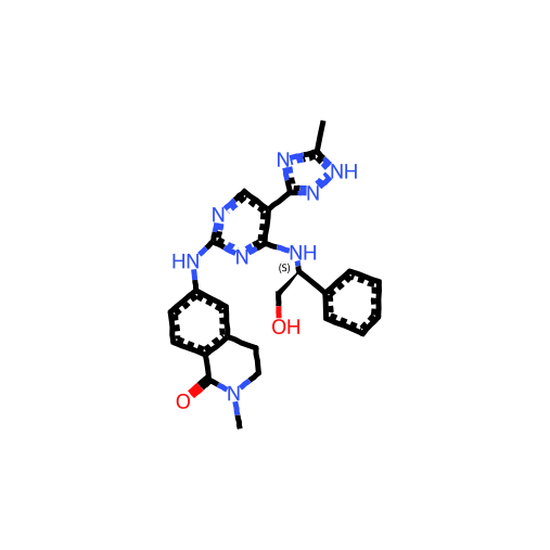 Cc1nc(-c2cnc(Nc3ccc4c(c3)CCN(C)C4=O)nc2N[C@H](CO)c2ccccc2)n[nH]1